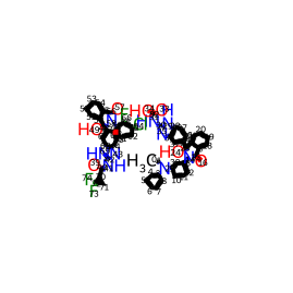 CCN(c1ccccc1)c1cccc(N2C(=O)c3ccccc3C2(O)c2ccc3[nH]c(NC(=O)O)nc3c2)c1.O=C(Nc1nc2ccc(C3(O)c4ccccc4C(=O)N3c3cccc(Cl)c3F)cc2[nH]1)C1CC1(F)F